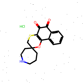 Cl.O=C1C(=O)c2ccccc2C2=C1SCC1(CCCNCC1)O2